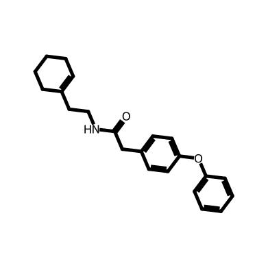 O=C(Cc1ccc(Oc2ccccc2)cc1)NCCC1=CCCCC1